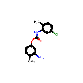 COc1ccc(OC(=O)Nc2cc(Cl)ccc2C)cc1N